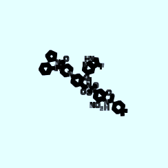 CC(C)c1ccccc1[C@@H]1CCC[C@@H]1N1CC2(CCN(c3ccc(C(=O)NS(=O)(=O)c4cc5c(c([N+](=O)[O-])c4)N[C@@H](C4CCC(C)(C)CC4)CO5)c(Oc4cnc5[nH]cc(F)c5c4)c3)CC2)C1=O